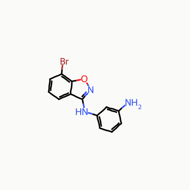 Nc1cccc(Nc2noc3c(Br)cccc23)c1